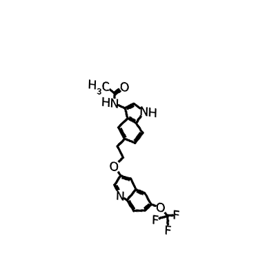 CC(=O)Nc1c[nH]c2ccc(CCOc3cnc4ccc(OC(F)(F)F)cc4c3)cc12